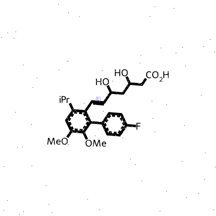 COc1cc(C(C)C)c(/C=C/C(O)CC(O)CC(=O)O)c(-c2ccc(F)cc2)c1OC